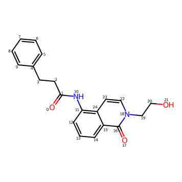 O=C(CCc1ccccc1)Nc1cccc2c(=O)n(CCO)ccc12